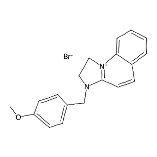 COc1ccc(CN2CC[n+]3c2ccc2ccccc23)cc1.[Br-]